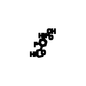 O=C(O)Nc1ccc(C2CNCCO2)c(F)c1